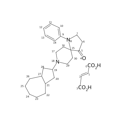 O=C(O)/C=C/C(=O)O.O=C1CCN(c2ccccc2)C12CCN(C1CC3CCCCCC3C1)CC2